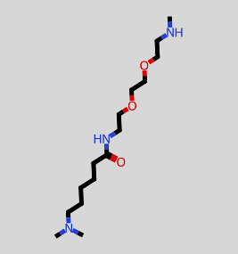 CNCCOCCOCCNC(=O)CCCCCN(C)C